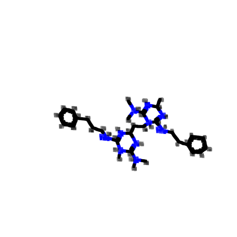 CC1N=C(NCCc2ccccc2)N(CCC2N=C(NCCCc3ccccc3)N(C)C(N(C)C)=N2)C(N(C)C)=N1